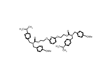 COc1ccc(CN(Cc2ccc(N(C)C)cc2)C(=O)OCCOc2cccc(OCCOC(=O)N(Cc3ccc(OC)cc3)Cc3ccc(N(C)C)cc3)n2)cc1